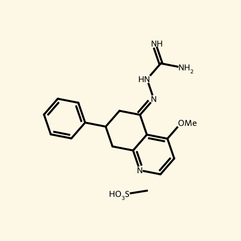 COc1ccnc2c1C(=NNC(=N)N)CC(c1ccccc1)C2.CS(=O)(=O)O